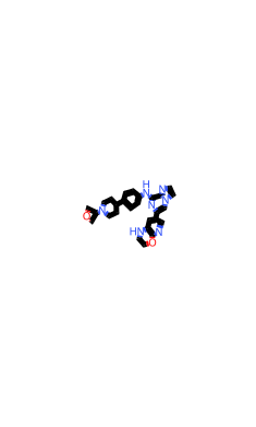 c1cn2cc(-c3cnc4c(c3)NCCO4)nc(Nc3ccc(C4CCN(C5COC5)CC4)cc3)c2n1